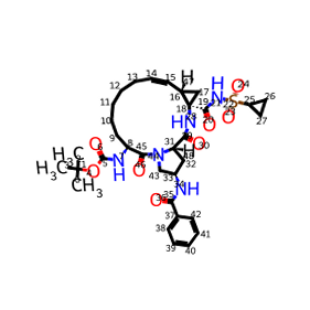 CC(C)(C)OC(=O)N[C@H]1CCCCC/C=C\[C@@H]2C[C@@]2(C(=O)NS(=O)(=O)C2CC2)NC(=O)[C@@H]2C[C@@H](NC(=O)c3ccccc3)CN2C1=O